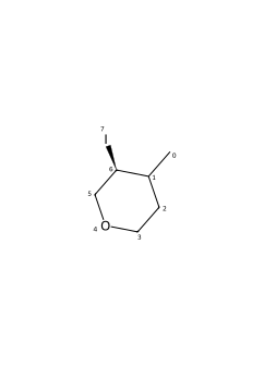 CC1CCOC[C@H]1I